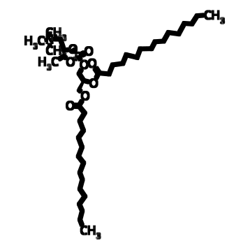 CCCCCCCCCCCCCCCC(=O)OC[C@@H](COP(=O)(OCC)OCC[N+](C)(C)C)OC(=O)CCCCCCCCCCCCCCC